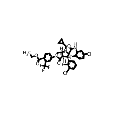 CCOC(=O)c1ccc(N2C[C@H]3[C@@H](C2=O)[C@H](c2cccc(Cl)c2F)[C@@]2(Cc4ccc(Cl)cc4NC2=O)N3CC2CC2)cc1C(F)(F)F